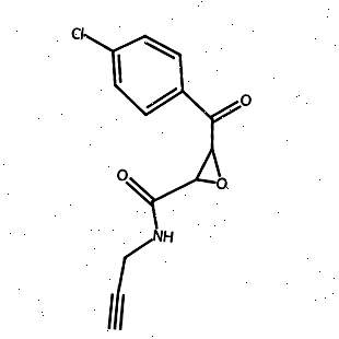 C#CCNC(=O)C1OC1C(=O)c1ccc(Cl)cc1